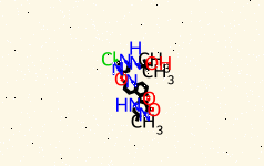 CC1=NC(=O)c2oc3ccc4nc(Oc5cc(NCC(C)(C)O)nc(Cl)n5)ccc4c3c2NC1